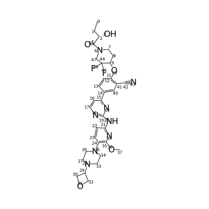 CC[C@H](O)C(=O)N1CCC(Oc2ccc(-c3ccnc(Nc4ccc(N5CCN(C6COC6)CC5)c(OC)n4)n3)cc2C#N)C(F)(F)C1